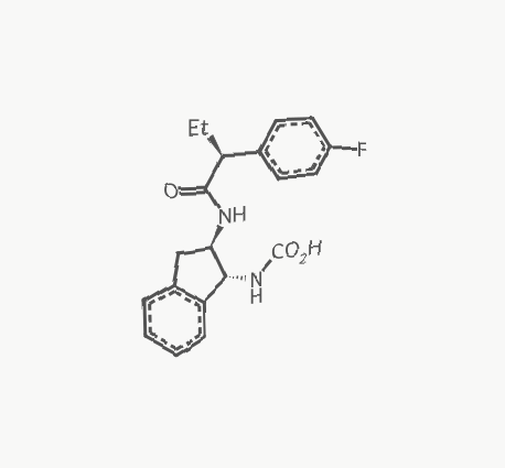 CC[C@H](C(=O)N[C@@H]1Cc2ccccc2[C@H]1NC(=O)O)c1ccc(F)cc1